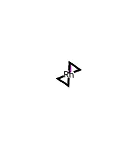 [I][Rh]12([CH2][CH2]1)[CH2][CH2]2